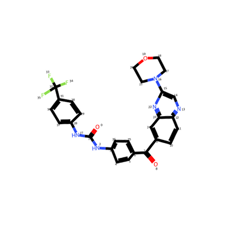 O=C(Nc1ccc(C(=O)c2ccc3ncc(N4CCOCC4)nc3c2)cc1)Nc1ccc(C(F)(F)F)cc1